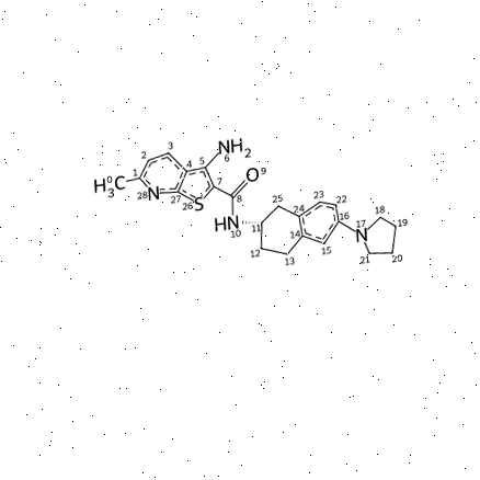 Cc1ccc2c(N)c(C(=O)N[C@H]3CCc4cc(N5CCCC5)ccc4C3)sc2n1